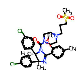 CCOc1cc(C#N)ccc1C1=N[C@@](C)(c2ccc(Cl)cc2)[C@@](C)(c2ccc(Cl)cc2)N1C(=O)N1CCN(CCCS(C)(=O)=O)CC1